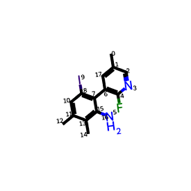 Cc1cnc(F)c(-c2c(I)cc(C)c(C)c2N)c1